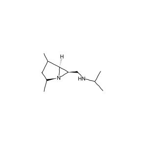 CC(C)NC[C@@H]1[C@@H]2C(C)CC(C)[N@]12